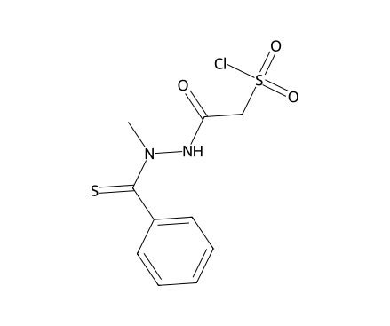 CN(NC(=O)CS(=O)(=O)Cl)C(=S)c1ccccc1